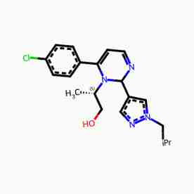 CC(C)Cn1cc(C2N=CC=C(c3ccc(Cl)cc3)N2[C@@H](C)CO)cn1